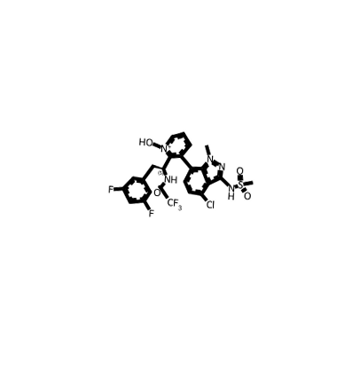 Cn1nc(NS(C)(=O)=O)c2c(Cl)ccc(-c3ccc[n+](O)c3[C@H](Cc3cc(F)cc(F)c3)NC(=O)C(F)(F)F)c21